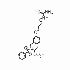 N=C(N)NOCCCOc1ccc2c(c1)CN(S(=O)(=O)c1ccccc1)[C@H](C(=O)O)C2